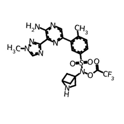 Cc1ccc(S(=O)(=O)N(OC(=O)C(F)(F)F)C23CNC(C2)C3)cc1-c1cnc(N)c(-c2ncn(C)n2)n1